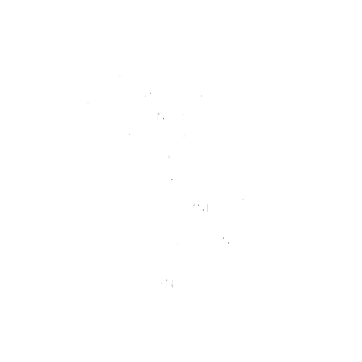 Cc1cc(NCc2cnccc2N2CCOCC2)cc2c1C(=O)N(CC(F)(F)F)C2